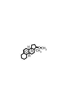 C=C=C1CC[C@H]2[C@@H]3CC=C4CCCC[C@]4(C)[C@H]3CC[C@]12C